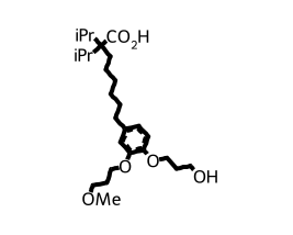 COCCCOc1cc(CCCCCCC(C(=O)O)(C(C)C)C(C)C)ccc1OCCCO